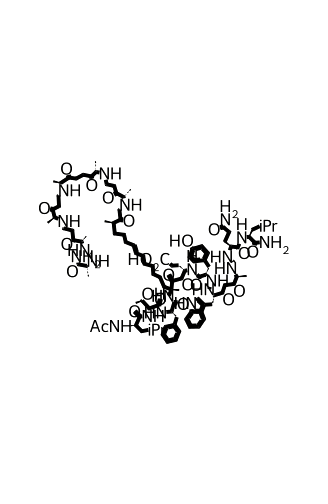 CC(=O)N[C@@H](CC(C)C)C(=O)N[C@H](C(=O)N[C@@H](Cc1ccccc1)C(=O)N[C@](C)(CCCCCC/C=C/CCC[C@@H](C)C(=O)CN[C@@H](C)C(=O)CCN[C@@H](C)C(=O)CCC(=O)[C@H](C)NCCC(=O)[C@H](C)NCCC(=O)[C@H](C)NCN[C@H](C)C(N)=O)C(=O)C(=O)[C@H](CCC(=O)O)NC(=O)[C@H](Cc1ccc(O)cc1)NN[C@@H](Cc1c[nH]c2ccccc12)C(=O)CC(=O)[C@H](C)NCN[C@@H](CCC(N)=O)C(=O)N[C@@H](CC(C)C)C(N)=O)[C@@H](C)O